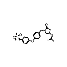 CC(=O)SC1CC(=O)N(Cc2ccc(Oc3ccc(NS(C)(=O)=O)cc3)cc2)C1